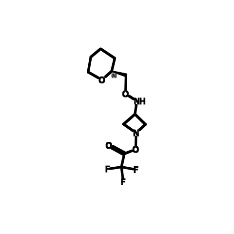 O=C(ON1CC(NOC[C@@H]2CCCCO2)C1)C(F)(F)F